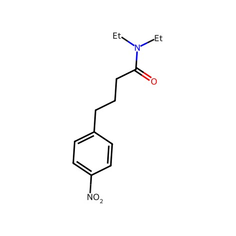 CCN(CC)C(=O)CCCc1ccc([N+](=O)[O-])cc1